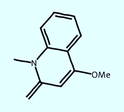 C=C1C=C(OC)c2ccccc2N1C